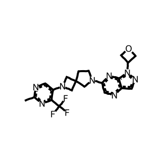 Cc1ncc(N2CC3(CCN(c4cnc5cnn(C6COC6)c5n4)C3)C2)c(C(F)(F)F)n1